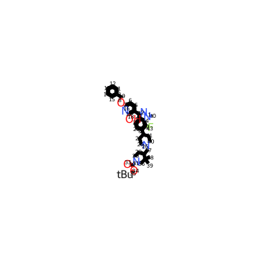 Cn1nc(-c2ccc(OCc3ccccc3)nc2O)c2ccc(C3CCN(CC4CCN(C(=O)OC(C)(C)C)CC4(C)C)CC3)c(F)c21